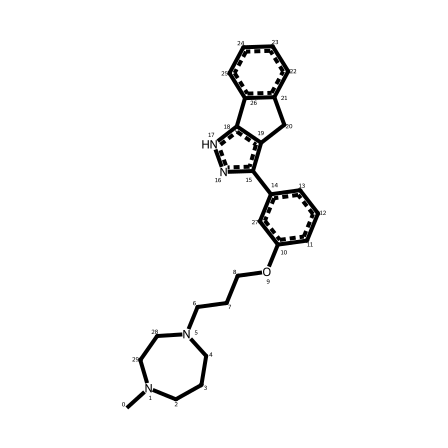 CN1CCCN(CCCOc2cccc(-c3n[nH]c4c3Cc3ccccc3-4)c2)CC1